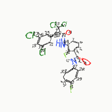 CN(C(=O)c1cccc(NC(=O)[C@@H]2[C@@H](c3cc(Cl)cc(Cl)c3)C2(Cl)Cl)c1F)c1ccc(F)cc1